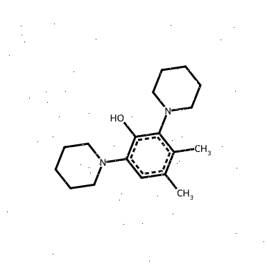 Cc1cc(N2CCCCC2)c(O)c(N2CCCCC2)c1C